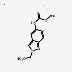 CC(C)(C)OC(=O)Nc1ccc2nn(CC(=O)O)cc2c1